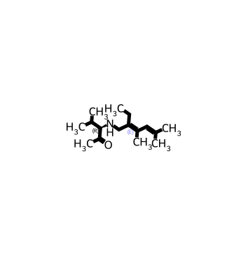 CC/C(CN[C@@H](C(C)=O)C(C)C)=C(/C)C=C(C)C